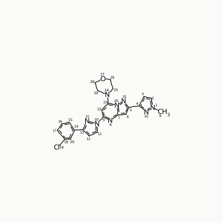 Cn1ccc(-c2cc3nc(-n4ccc(-c5cccc(Cl)c5)n4)cc(N4CCOCC4)n3n2)n1